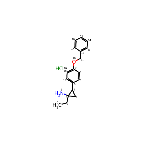 CCC1(N)CC1c1ccc(OCc2ccccc2)cc1.Cl